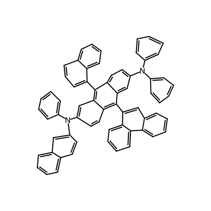 c1ccc(N(c2ccc3ccccc3c2)c2ccc3c(-c4cc5ccccc5c5ccccc45)c4cc(N(c5ccccc5)c5ccccc5)ccc4c(-c4cccc5ccccc45)c3c2)cc1